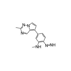 CNc1cc(-c2ccn3nc(C)ncc23)ccc1N=N